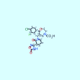 O=C(O)N1CCO[C@@H](c2ccc(Cl)c(F)c2)[C@H](Cn2cccc(-c3noc(=O)[nH]3)c2=O)C1